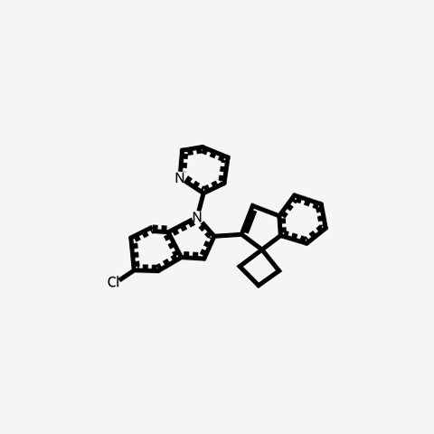 Clc1ccc2c(c1)cc(C1=Cc3ccccc3C13CCC3)n2-c1ccccn1